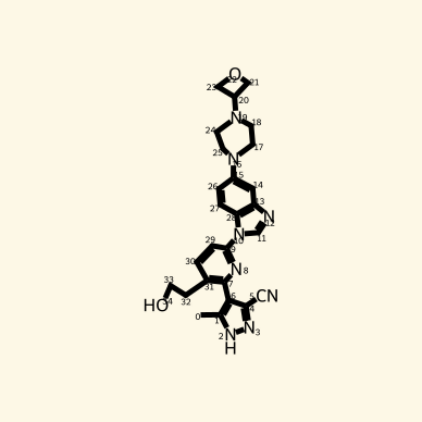 Cc1[nH]nc(C#N)c1-c1nc(-n2cnc3cc(N4CCN(C5COC5)CC4)ccc32)ccc1CCO